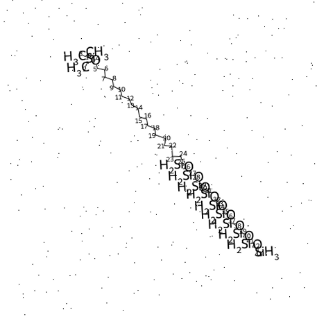 C[Si](C)(C)OCCCCCCCCCCCCCCCCCCCC[SiH2]O[SiH2]O[SiH2]O[SiH2]O[SiH2]O[SiH2]O[SiH2]O[SiH2]O[SiH2]O[SiH3]